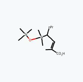 CCCC(/C=C(\C)C(=O)O)[Si](C)(C)O[Si](C)(C)C